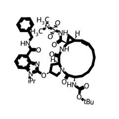 CC(C)n1c(O[C@@H]2C[C@H]3C(=O)N[C@]4(C(=O)NS(=O)(=O)N(C)C)C[C@H]4/C=C\CCCCC[C@H](NC(=O)OC(C)(C)C)C(=O)N3C2)nc2c(C(=O)NCc3ccccc3)cccc21